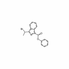 CC(Br)c1nn(S(=O)Oc2ccccc2)c2ccccc12